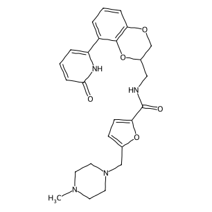 CN1CCN(Cc2ccc(C(=O)NCC3COc4cccc(-c5cccc(=O)[nH]5)c4O3)o2)CC1